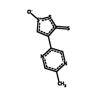 Cc1cnc(-c2c[s+]([O-])sc2=S)cn1